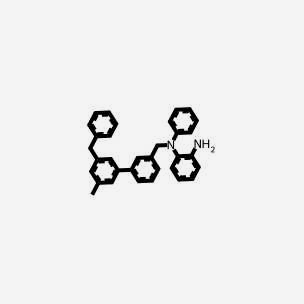 Cc1cc(Cc2ccccc2)cc(-c2cccc(CN(c3ccccc3)c3ccccc3N)c2)c1